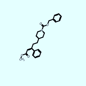 COC(=O)C=C(CCC1CCN(C(=O)OCc2ccccc2)CC1)c1ccccc1